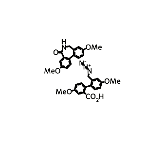 COc1ccc(-c2ccc(OC)cc2C(=O)O)c(CN=[N+]=[N-])c1.COc1ccc2c(c1)CNC(=O)c1cc(OC)ccc1-2